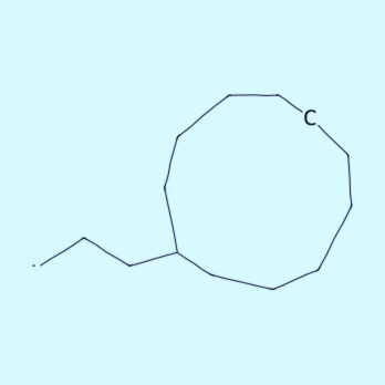 [CH2]CCC1CCCCCCCCCC1